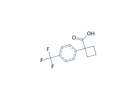 O=C(O)C1(c2ccc(C(F)(F)F)cc2)CCC1